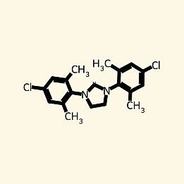 Cc1cc(Cl)cc(C)c1N1[C]N(c2c(C)cc(Cl)cc2C)CC1